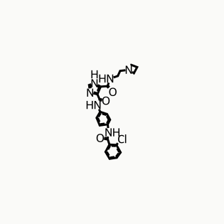 O=C(Nc1ccc(NC(=O)c2nc[nH]c2C(=O)NCCN2CCC2)cc1)c1ccccc1Cl